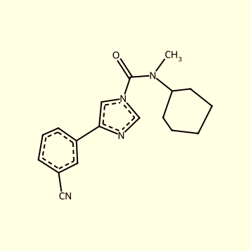 CN(C(=O)n1cnc(-c2cccc(C#N)c2)c1)C1CCCCC1